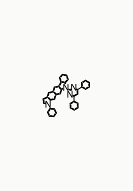 c1ccc(-c2cc(-c3ccccc3)nc(-n3c4ccccc4c4cc5cc6ccn(-c7ccccc7)c6cc5cc43)n2)cc1